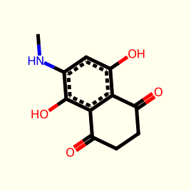 CNc1cc(O)c2c(c1O)C(=O)CCC2=O